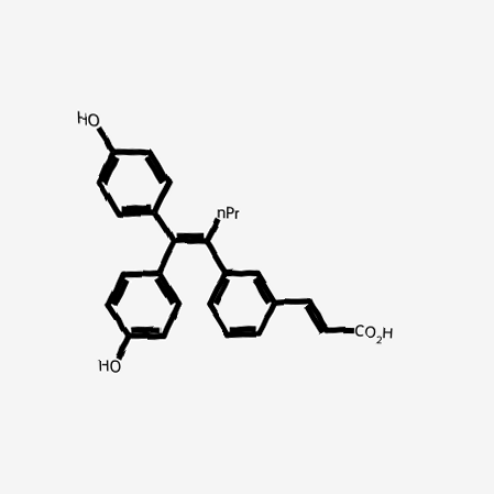 CCCC(=C(c1ccc(O)cc1)c1ccc(O)cc1)c1cccc(/C=C/C(=O)O)c1